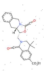 CCOC(=O)c1ccc2c(c1)C(C)(C)CN(C[C@H]1OC(=C=O)N3Cc4ccccc4C[C@@H]13)C2=C=O